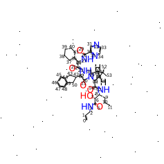 C=CCNC(=O)C(O)C(CCC)NC(=O)[C@@H]1[C@@H]2[C@H](CN1C(=O)[C@@H](NC(=O)[C@@H](NC(=O)c1cnccn1)C1CCCCC1)C1Cc3ccccc3C1)C2(C)C